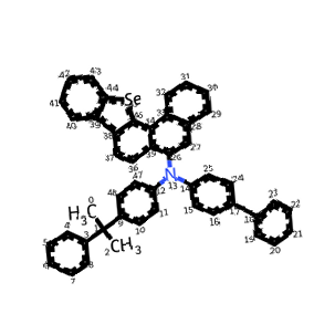 CC(C)(c1ccccc1)c1ccc(N(c2ccc(-c3ccccc3)cc2)c2cc3ccccc3c3c2ccc2c4ccccc4[se]c23)cc1